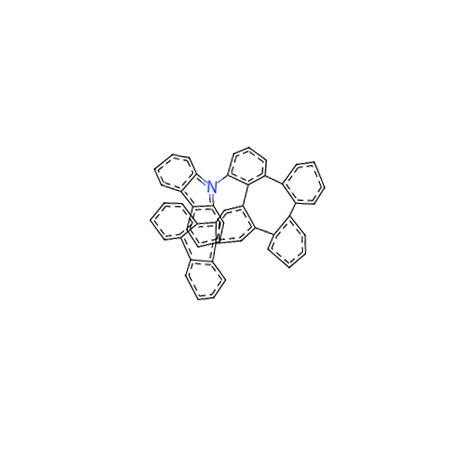 c1ccc2c(c1)-c1ccccc1-c1cccc(-n3c4ccccc4c4ccccc43)c1-c1cc3c4ccccc4c4ccccc4c3cc1-2